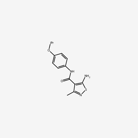 Cc1nsc(N)c1C(=O)Nc1ccc(OC(C)C)cc1